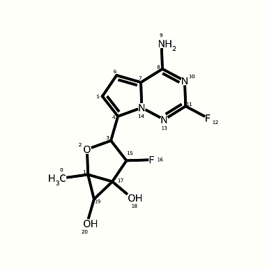 CC12OC(c3ccc4c(N)nc(F)nn34)C(F)C1(O)C2O